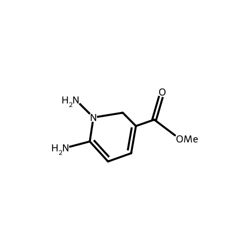 COC(=O)C1=CC=C(N)N(N)C1